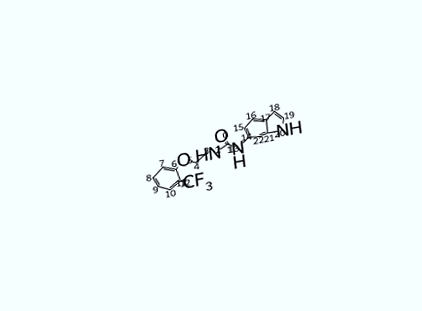 O=C(NCCOc1ccccc1C(F)(F)F)Nc1ccc2cc[nH]c2c1